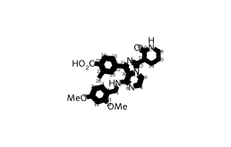 COc1ccc(CNc2nccn3c(C4CCCNC4=O)nc(-c4ccc(C(=O)O)c(C)c4)c23)c(OC)c1